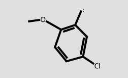 [CH]c1cc(Cl)ccc1OC